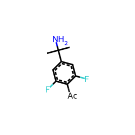 CC(=O)c1c(F)cc(C(C)(C)N)cc1F